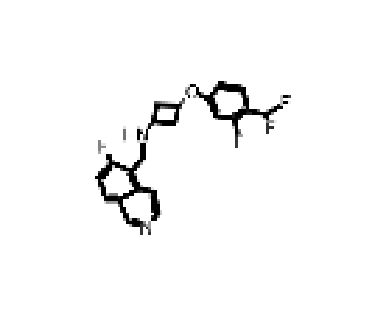 Fc1cc(O[C@H]2C[C@H](NCc3c(F)ccc4cnccc34)C2)ccc1C(F)F